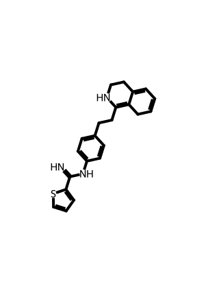 N=C(Nc1ccc(CCC2=C3CC=CC=C3CCN2)cc1)c1cccs1